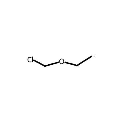 [CH2]COCCl